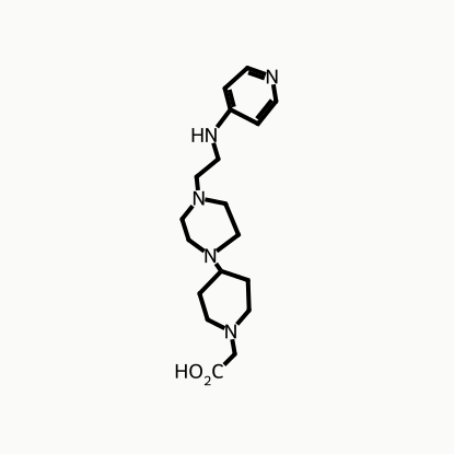 O=C(O)CN1CCC(N2CCN(CCNc3ccncc3)CC2)CC1